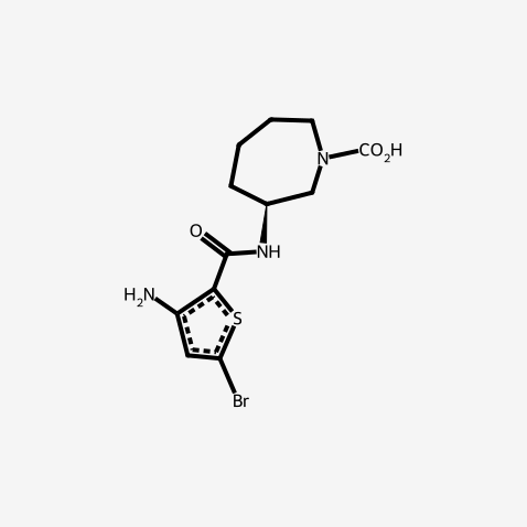 Nc1cc(Br)sc1C(=O)N[C@H]1CCCCN(C(=O)O)C1